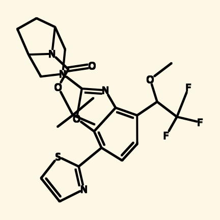 COC(c1ccc(-c2nccs2)c2oc(N3CC4CCC(C3)N4C(=O)OC(C)(C)C)nc12)C(F)(F)F